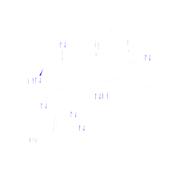 Brc1cnn2c(NCc3cccnc3)cc(N[C@H]3CCN(Cc4ccccc4)C3)nc12